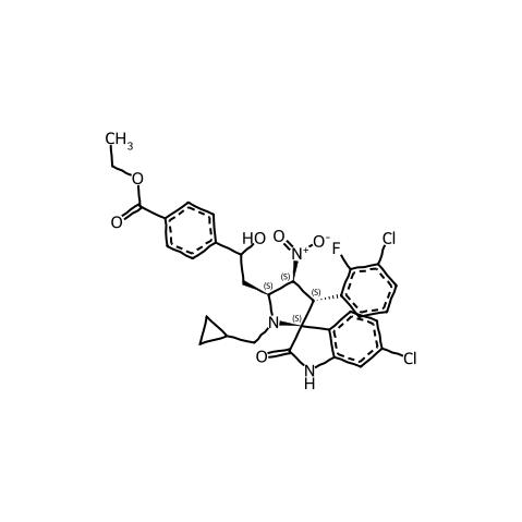 CCOC(=O)c1ccc(C(O)C[C@H]2[C@@H]([N+](=O)[O-])[C@H](c3cccc(Cl)c3F)[C@]3(C(=O)Nc4cc(Cl)ccc43)N2CC2CC2)cc1